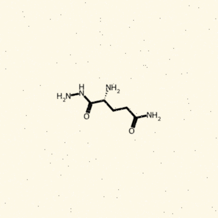 NNC(=O)[C@H](N)CCC(N)=O